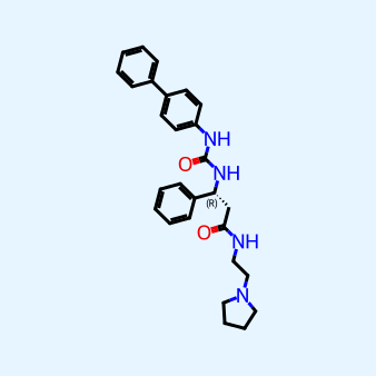 O=C(C[C@@H](NC(=O)Nc1ccc(-c2ccccc2)cc1)c1ccccc1)NCCN1CCCC1